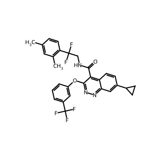 Cc1ccc(C(F)(F)CNC(=O)c2c(Oc3cccc(C(F)(F)F)c3)nnc3cc(C4CC4)ccc23)c(C)c1